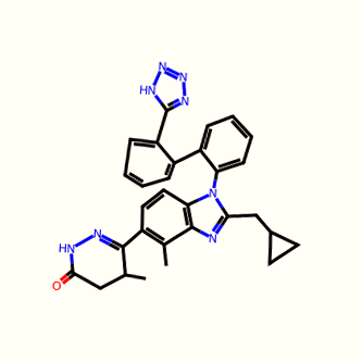 Cc1c(C2=NNC(=O)CC2C)ccc2c1nc(CC1CC1)n2-c1ccccc1-c1ccccc1-c1nnn[nH]1